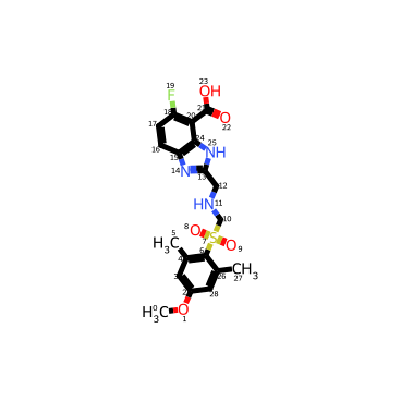 COc1cc(C)c(S(=O)(=O)CNCc2nc3ccc(F)c(C(=O)O)c3[nH]2)c(C)c1